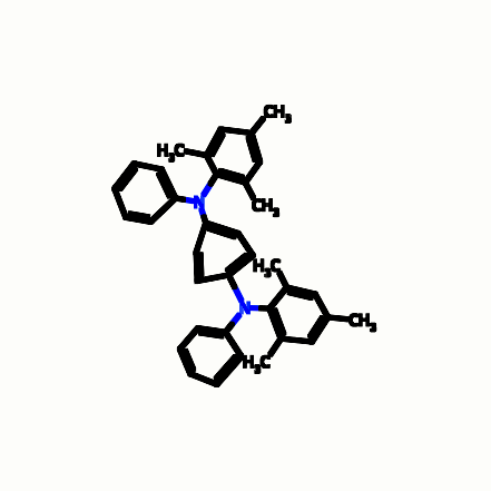 Cc1cc(C)c(N(c2ccccc2)c2ccc(N(c3ccccc3)c3c(C)cc(C)cc3C)cc2)c(C)c1